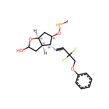 OC1C[C@@H]2[C@@H](/C=C/C(F)(F)COc3ccccc3)[C@H](OPI)C[C@@H]2O1